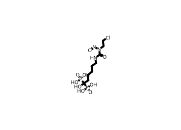 O=NN(CCCl)C(=O)NCCCCCC(O)(P(=O)(O)O)P(=O)(O)O